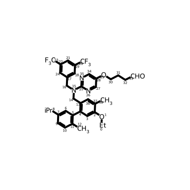 CCOc1cc(-c2cc(C(C)C)ccc2C)c(CN(Cc2cc(C(F)(F)F)cc(C(F)(F)F)c2)c2ncc(OCCCC=O)cn2)cc1C